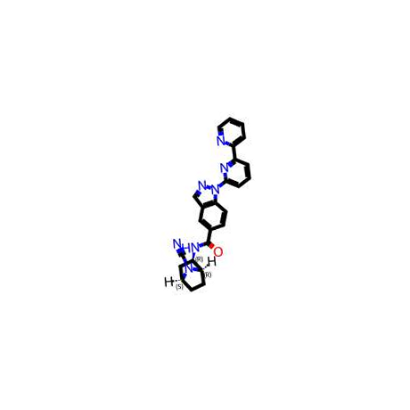 N#CN1[C@H]2CC[C@@H]1[C@H](NC(=O)c1ccc3c(cnn3-c3cccc(-c4ccccn4)n3)c1)C2